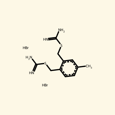 Br.Br.Cc1ccc(CSC(=N)N)c(CSC(=N)N)c1